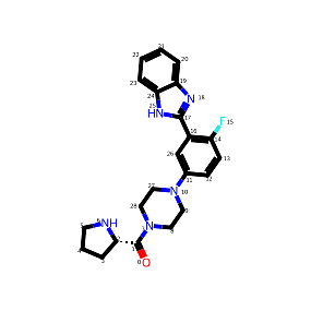 O=C([C@@H]1CCCN1)N1CCN(c2ccc(F)c(-c3nc4ccccc4[nH]3)c2)CC1